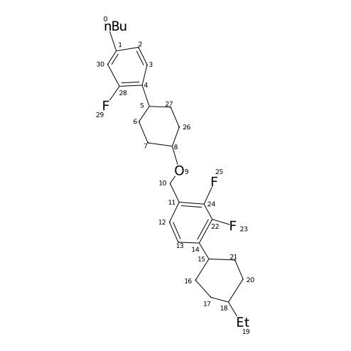 CCCCc1ccc(C2CCC(OCc3ccc(C4CCC(CC)CC4)c(F)c3F)CC2)c(F)c1